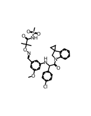 COc1cc(C=NOC(C)(C)C(=O)NS(C)(=O)=O)cc(NC(C(=O)N2CC3(CC3)c3ccccc32)c2ccc(Cl)cc2)c1